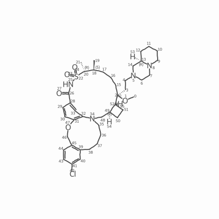 CO[C@]1(CCN2CCN3CCCC[C@@H]3C2)CCC[C@H](C)[C@@H](C)S(=O)(=O)NC(=O)c2ccc3c(c2)N(CCCCc2cc(Cl)ccc2CO3)C[C@@H]2CC[C@H]21